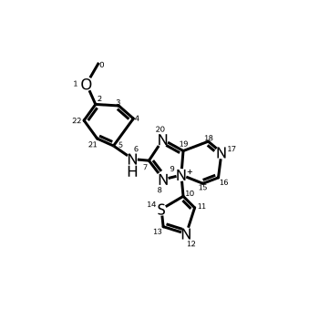 COc1ccc(NC2=N[N+]3(c4cncs4)C=CN=CC3=N2)cc1